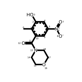 Cc1c(O)cc([N+](=O)[O-])cc1C(=O)N1CCOCC1